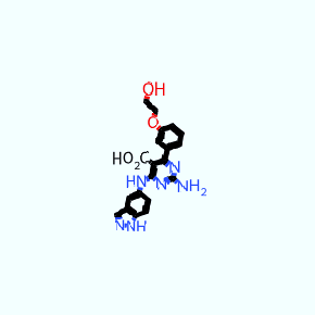 Nc1nc(Nc2ccc3[nH]ncc3c2)c(C(=O)O)c(-c2cccc(OCCO)c2)n1